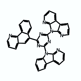 c1cnc2c(c1)cc(-c1nc(-n3c4ccccc4c4cccnc43)nc(-n3c4ncccc4c4cccnc43)n1)c1ccccc12